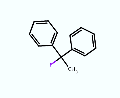 CC(I)(c1ccccc1)c1ccccc1